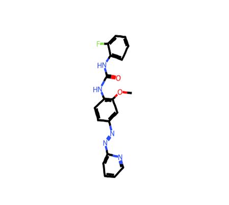 COc1cc(N=Nc2ccccn2)ccc1NC(=O)Nc1ccccc1F